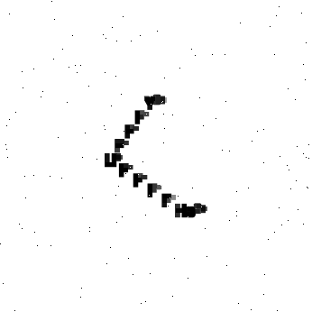 [F-].[F-].[F-].[F-].[F-].[F-].[F-].[Ho+3].[Li+].[Y+3]